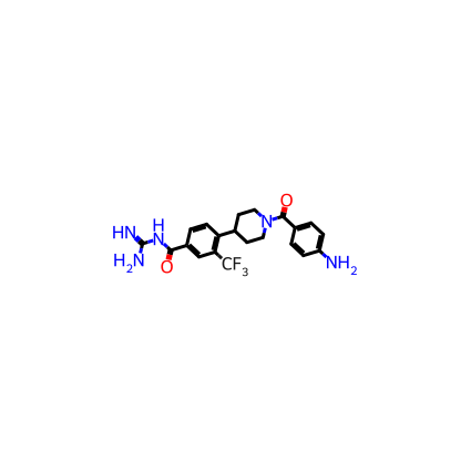 N=C(N)NC(=O)c1ccc(C2CCN(C(=O)c3ccc(N)cc3)CC2)c(C(F)(F)F)c1